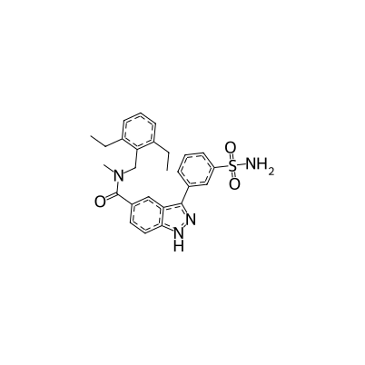 CCc1cccc(CC)c1CN(C)C(=O)c1ccc2[nH]nc(-c3cccc(S(N)(=O)=O)c3)c2c1